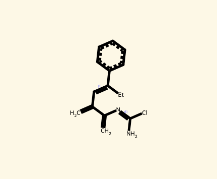 C=C(/C=C(\CC)c1ccccc1)C(=C)/N=C(\N)Cl